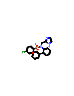 O=S(=O)(c1ccc(F)cc1)N(Cc1ncc[nH]1)c1ccccc1-c1ccccc1